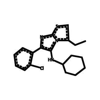 CCc1csc2nc(-c3ccccc3Cl)c(NC3CCCCC3)n12